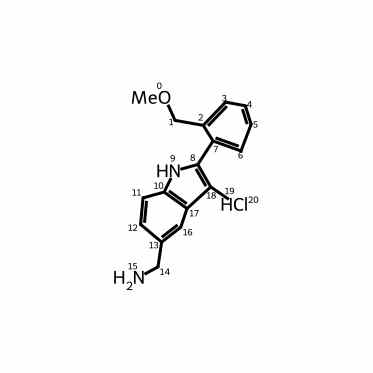 COCc1ccccc1-c1[nH]c2ccc(CN)cc2c1C.Cl